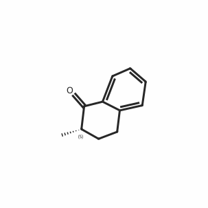 C[C@H]1CCc2ccccc2C1=O